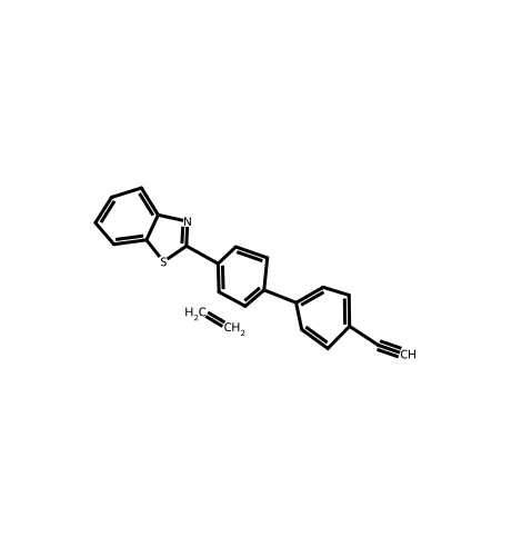 C#Cc1ccc(-c2ccc(-c3nc4ccccc4s3)cc2)cc1.C=C